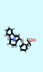 CC(C)(O)c1ccccc1Sc1cc2c3ccccc3c3cccc1n32